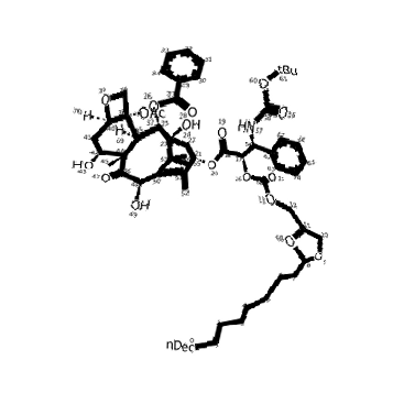 CCCCCCCCCCCCCCCCCC1OCC(COC(=O)O[C@@H](C(=O)O[C@H]2C[C@@]3(O)[C@@H](OC(=O)c4ccccc4)[C@@H]4[C@]5(OC(C)=O)CO[C@@H]5C[C@H](O)[C@@]4(C)C(=O)[C@H](O)C(=C2C)C3(C)C)[C@@H](NC(=O)OC(C)(C)C)c2ccccc2)O1